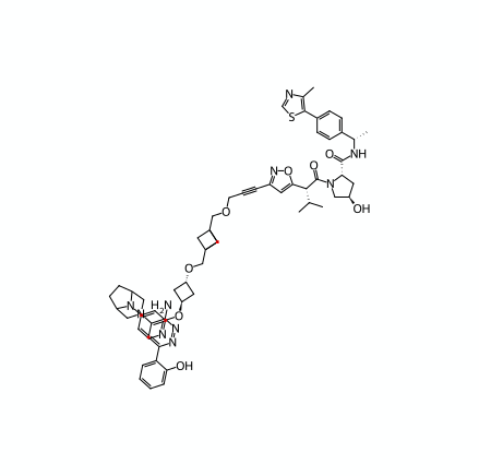 Cc1ncsc1-c1ccc([C@H](C)NC(=O)[C@@H]2C[C@@H](O)CN2C(=O)[C@@H](c2cc(C#CCOCC34CC(CO[C@H]5C[C@H](Oc6cc(N7C8CCC7CN(c7cc(-c9ccccc9O)nnc7N)C8)ccn6)C5)(C3)C4)no2)C(C)C)cc1